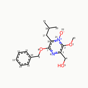 COc1c(CO)nc(OCc2ccccc2)c(CC(C)C)[n+]1[O-]